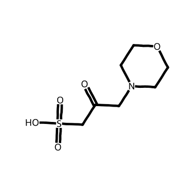 O=C(CN1CCOCC1)CS(=O)(=O)O